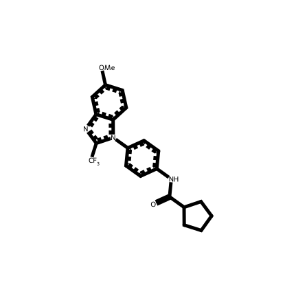 COc1ccc2c(c1)nc(C(F)(F)F)n2-c1ccc(NC(=O)C2CCCC2)cc1